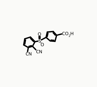 N#Cc1cccc(S(=O)(=O)c2ccc(C(=O)O)cc2)c1C#N